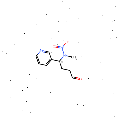 CN([C@@H](CCC=O)c1cccnc1)[N+](=O)[O-]